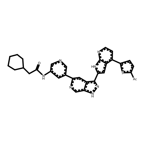 CC(=O)c1ccc(-c2ccnc3[nH]c(-c4n[nH]c5cnc(-c6cncc(NC(=O)CC7CCCCC7)c6)cc45)cc23)s1